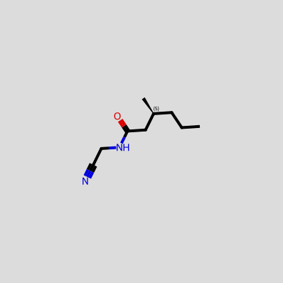 CCC[C@H](C)CC(=O)NCC#N